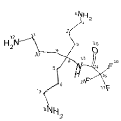 NCCCC(CCCN)(CCCN)NC(=O)C(F)(F)F